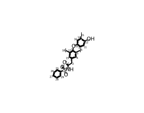 O=C(Cc1cc(I)c(Oc2ccc(O)c(I)c2)c(I)c1)NS(=O)(=O)c1ccccc1